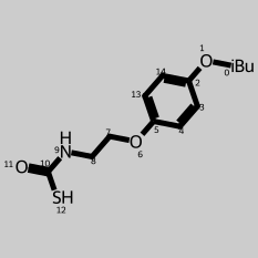 CCC(C)Oc1ccc(OCCNC(=O)S)cc1